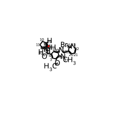 COc1cc(C(=O)N2C[C@H]3CC[C@@H]2[C@@H]3N)cc2nc(-c3cccnc3Br)n(C)c12